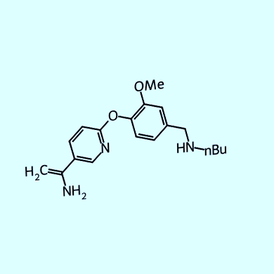 C=C(N)c1ccc(Oc2ccc(CNCCCC)cc2OC)nc1